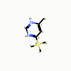 Cc1cc(S(C)(C)C)ncn1